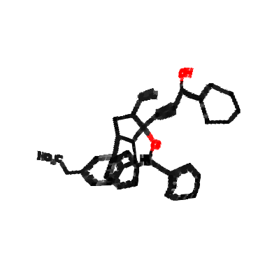 CC(C)(C)C1CC2c3cc(CC(=O)O)ccc3CC2C1(C#CC(O)C1CCCCC1)O[SiH](c1ccccc1)c1ccccc1